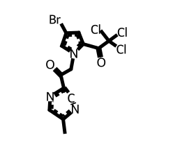 Cc1cnc(C(=O)Cn2cc(Br)cc2C(=O)C(Cl)(Cl)Cl)cn1